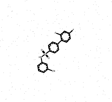 N#Cc1cccc(NS(=O)(=O)c2ccc(-c3ccc(F)cc3F)cc2)c1